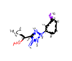 CC(O)c1nnn(-c2cccc(I)c2)n1